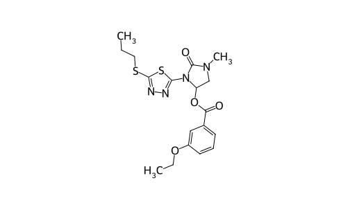 CCCSc1nnc(N2C(=O)N(C)CC2OC(=O)c2cccc(OCC)c2)s1